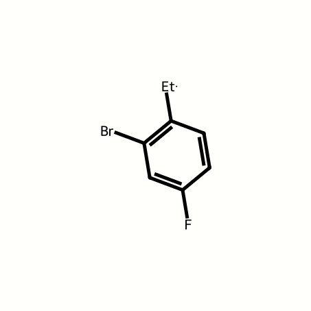 C[CH]c1ccc(F)cc1Br